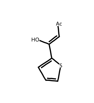 CC(=O)/C=C(\O)c1cccs1